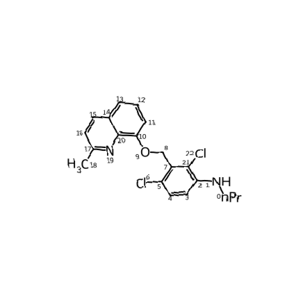 CCCNc1ccc(Cl)c(COc2cccc3ccc(C)nc23)c1Cl